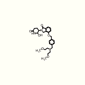 COCCN(CCOC)Cc1ccc(COc2cccc3c2CN(C2CCC(=O)NC2O)C3=O)cc1